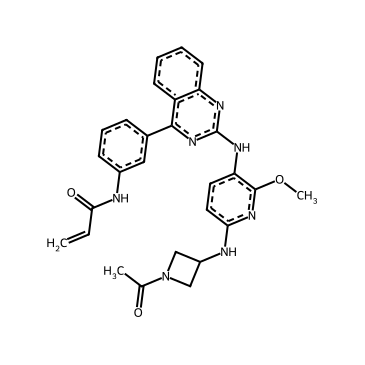 C=CC(=O)Nc1cccc(-c2nc(Nc3ccc(NC4CN(C(C)=O)C4)nc3OC)nc3ccccc23)c1